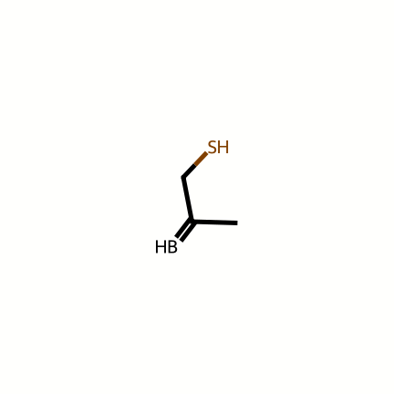 B=C(C)CS